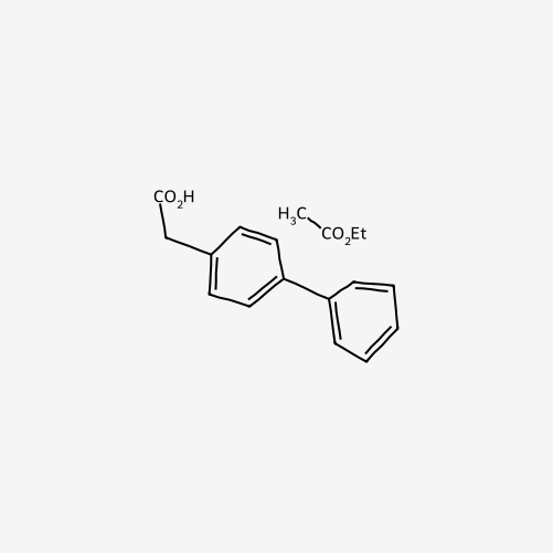 CCOC(C)=O.O=C(O)Cc1ccc(-c2ccccc2)cc1